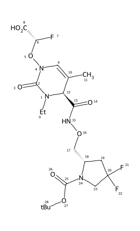 CCN1C(=O)N(O[C@@H](F)C(=O)O)C=C(C)[C@H]1C(=O)NOC[C@@H]1CC(F)(F)CN1C(=O)OC(C)(C)C